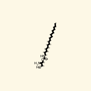 CCCCCCCCCCCCCCCCCCNC(=O)OCC(N)CO